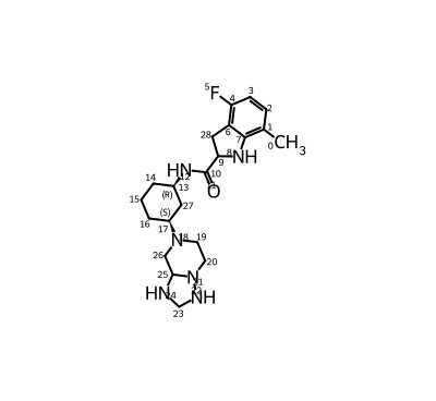 Cc1ccc(F)c2c1NC(C(=O)N[C@@H]1CCC[C@H](N3CCN4NCNC4C3)C1)C2